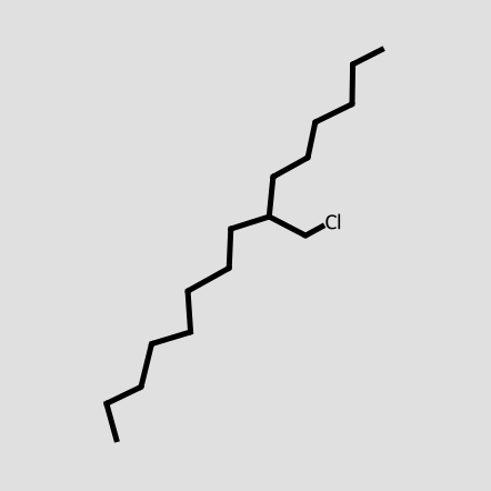 CCCCCCCCC(CCl)CCCCCC